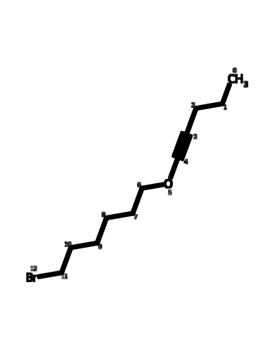 CCCC#COCCCCCCBr